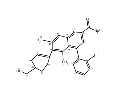 CNC(=O)c1cc(-c2ccccc2F)c2c(C)c(C3=CCC(CO)CC3)c(C)cc2n1